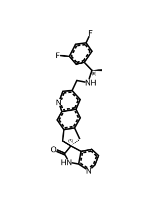 C[C@@H](NCc1cnc2cc3c(cc2c1)C[C@@]1(C3)C(=O)Nc2ncccc21)c1cc(F)cc(F)c1